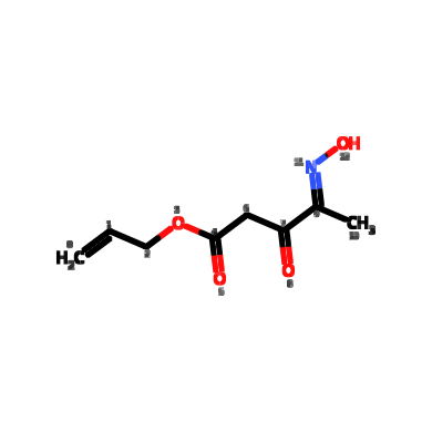 C=CCOC(=O)CC(=O)C(C)=NO